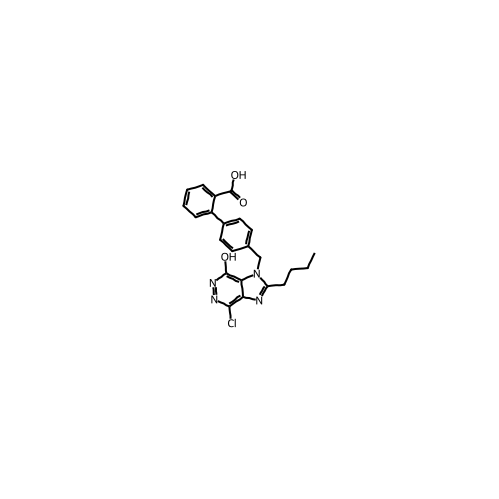 CCCCc1nc2c(Cl)nnc(O)c2n1Cc1ccc(-c2ccccc2C(=O)O)cc1